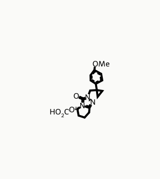 COc1ccc(C2(Cn3nc4n(c3=O)[C@@H](OC(=O)O)CCC4)CC2)cc1